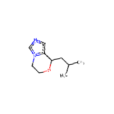 CC(C)CC1OCCn2cncc21